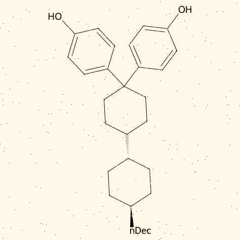 CCCCCCCCCC[C@H]1CC[C@H](C2CCC(c3ccc(O)cc3)(c3ccc(O)cc3)CC2)CC1